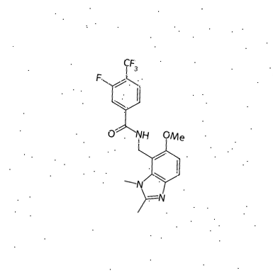 COc1ccc2nc(C)n(C)c2c1CNC(=O)c1ccc(C(F)(F)F)c(F)c1